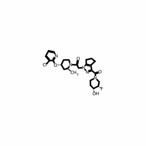 C[C@H]1C[C@H](Oc2ncccc2Cl)CCN1C(=O)Cn1nc(C(=O)N2CC[C@@H](O)[C@@H](F)C2)c2c1CCC2